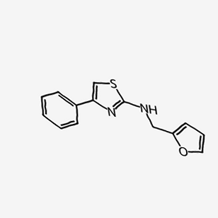 c1ccc(-c2csc(NCc3ccco3)n2)cc1